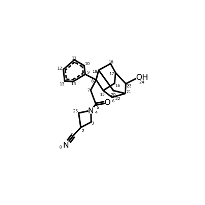 N#CC1CN(C(=O)CC2(c3ccccc3)C3CC4CC2CC(C3)C4O)C1